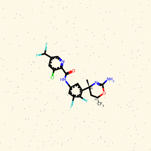 C[C@]1(c2cc(NC(=O)c3ncc(C(F)F)cc3Cl)cc(F)c2F)C[C@@H](C(F)(F)F)OC(N)=N1